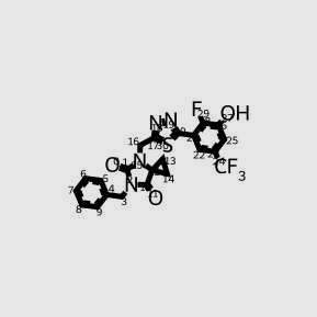 O=C1N(Cc2ccccc2)C(=O)C2(CC2)N1Cc1nnc(-c2cc(C(F)(F)F)cc(O)c2F)s1